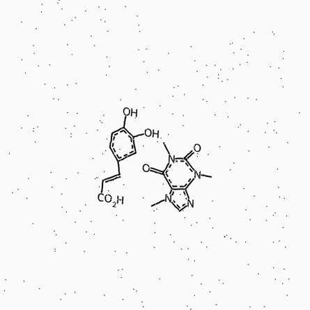 Cn1c(=O)c2c(ncn2C)n(C)c1=O.O=C(O)/C=C/c1ccc(O)c(O)c1